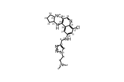 CN(C)CCn1cc(CNc2cc(Cl)c3ncc(C#N)c(NC4CCCC4)c3c2)nn1